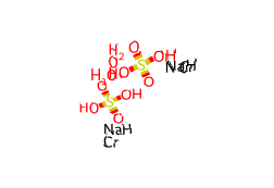 O.O.O=S(=O)(O)O.O=S(=O)(O)O.[Cr].[Cr].[NaH].[NaH]